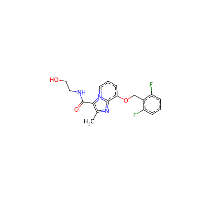 Cc1nc2c(OCc3c(F)cccc3F)cccn2c1C(=O)NCCO